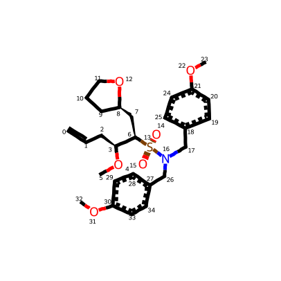 C=CC[C@H](OC)[C@@H](C[C@H]1CCCO1)S(=O)(=O)N(Cc1ccc(OC)cc1)Cc1ccc(OC)cc1